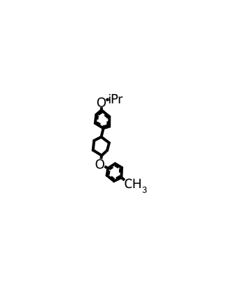 Cc1ccc(OC2CCC(c3ccc(OC(C)C)cc3)CC2)cc1